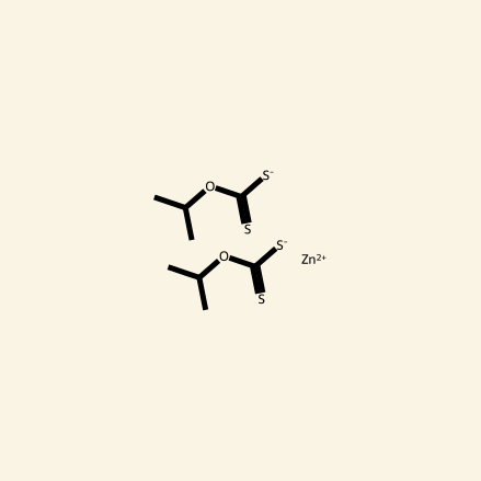 CC(C)OC(=S)[S-].CC(C)OC(=S)[S-].[Zn+2]